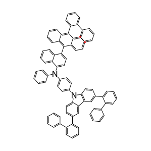 c1ccc(-c2ccccc2-c2ccc3c(c2)c2cc(-c4ccccc4-c4ccccc4)ccc2n3-c2ccc(N(c3ccccc3)c3ccc(-c4c5ccccc5c(-c5ccccc5-c5ccccc5)c5ccccc45)c4ccccc34)cc2)cc1